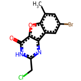 Cc1cc(Br)cc2c1oc1c(=O)[nH]c(CCl)nc12